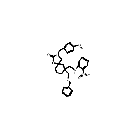 COc1ccc(CN2CC3(CCCC(CNc4ccccc4[N+](=O)[O-])(COCc4ccccc4)C3)OC2=O)cc1